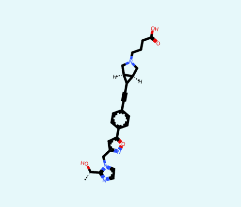 C[C@H](O)c1nccn1Cc1cc(-c2ccc(C#CC3[C@H]4CN(CCCC(=O)O)C[C@@H]34)cc2)on1